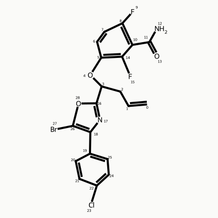 C=CCC(Oc1ccc(F)c(C(N)=O)c1F)c1nc(-c2ccc(Cl)cc2)c(Br)o1